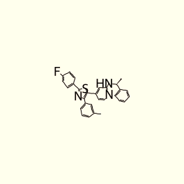 Cc1cccc(-c2nc(-c3ccc(F)cc3)sc2-c2ccnc(N[C@@H](C)c3ccccc3)c2)c1